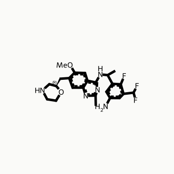 COc1cc2c(NC(C)c3cc(N)cc(C(F)F)c3F)nc(C)nc2cc1C[C@@H]1CNCCO1